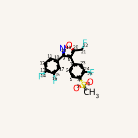 CS(=O)(=O)c1ccc(-c2c(-c3ccc(F)c(F)c3)noc2CF)cc1F